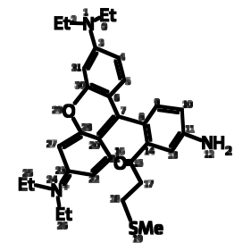 CCN(CC)c1ccc2c(-c3ccc(N)cc3C(=O)CCSC)c3ccc(=[N+](CC)CC)cc-3oc2c1